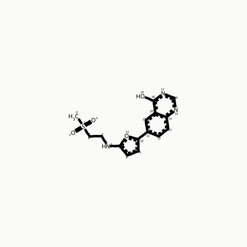 CS(=O)(=O)CCNc1ccc(-c2ccc3ncnc(O)c3c2)o1